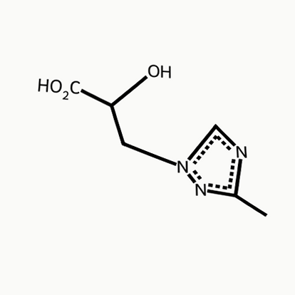 Cc1ncn(CC(O)C(=O)O)n1